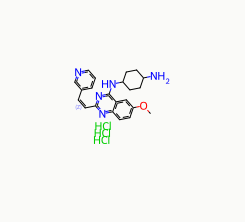 COc1ccc2nc(/C=C\c3cccnc3)nc(NC3CCC(N)CC3)c2c1.Cl.Cl.Cl